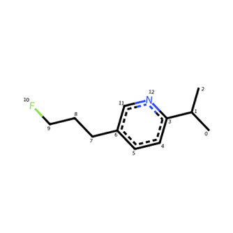 CC(C)c1ccc(CCCF)cn1